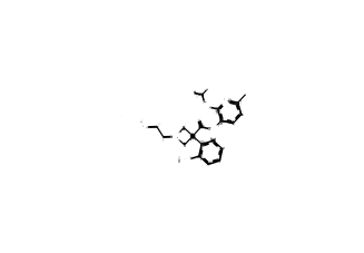 Cc1ccc(NC(=O)C2(c3ccccc3C(C)C)CN(CCNC(=O)O)C2)c(OC(F)F)n1